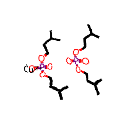 CC(C)CCOP(=O)([O-])OCCC(C)C.CC(C)CCOP(=O)([O-])OCCC(C)C.[Cu+2]